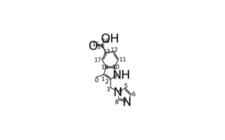 Cc1c(Cn2ccnc2)[nH]c2ccc(C(=O)O)cc12